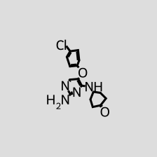 Nc1ncc(Oc2ccc(Cl)cc2)c(NC2CCC(=O)CC2)n1